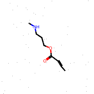 C/C=C/C(=O)OCCCNC